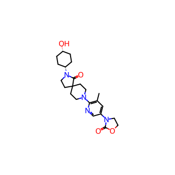 Cc1cc(N2CCOC2=O)cnc1N1CCC2(CC1)CCN([C@H]1CC[C@@H](O)CC1)C2=O